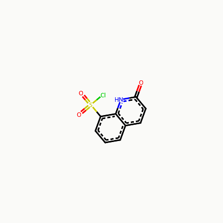 O=c1ccc2cccc(S(=O)(=O)Cl)c2[nH]1